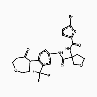 O=C(NC1(C(=O)Nc2ccc(N3CCOCCC3=O)c(C(F)(F)F)c2)CCOC1)c1ccc(Br)s1